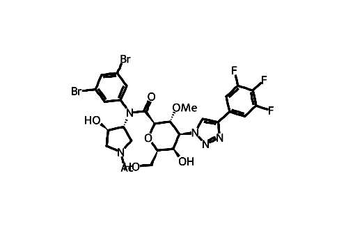 CO[C@@H]1[C@@H](n2cc(-c3cc(F)c(F)c(F)c3)nn2)[C@@H](O)[C@@H](CO)O[C@H]1C(=O)N(c1cc(Br)cc(Br)c1)[C@@H]1CN(C(C)=O)C[C@H]1O